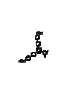 CCCCCCCCc1ccc(-c2ccc(-c3nc(-c4ccc(-c5ccc(CCCCCCCC)cc5)cc4)nc(-c4cc(C)cc(C)c4)n3)cc2)cc1